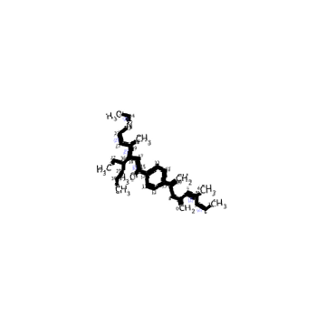 C=C(/C=C(C)\C=C/C)CC(=C)c1ccc(/C(C)=C/C(=C(C)/C=C\N=C/C)C(CC)CCC)cc1